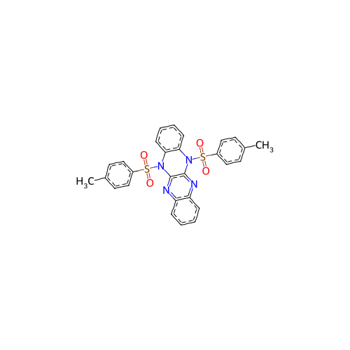 Cc1ccc(S(=O)(=O)N2c3ccccc3N(S(=O)(=O)c3ccc(C)cc3)c3nc4ccccc4nc32)cc1